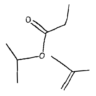 C=C(C)C.CCC(=O)OC(C)C